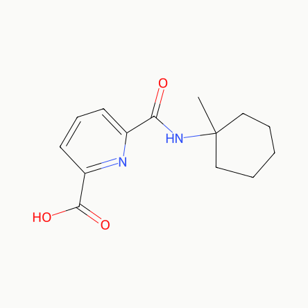 CC1(NC(=O)c2cccc(C(=O)O)n2)CCCCC1